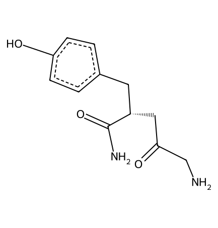 NCC(=O)C[C@@H](Cc1ccc(O)cc1)C(N)=O